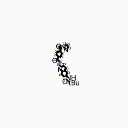 CC(C)(C)C(=O)Nc1ccc2nc(/C=C/C(=O)c3ccc(C(=O)n4cccn4)cc3)ccc2c1